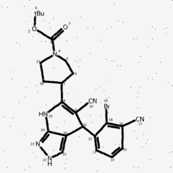 CC(C)(C)OC(=O)N1CCC(C2=C(C#N)C(c3cccc(C#N)c3Br)c3c[nH]nc3N2)CC1